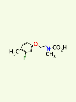 Cc1ccc(OCCN(C)C(=O)O)cc1F